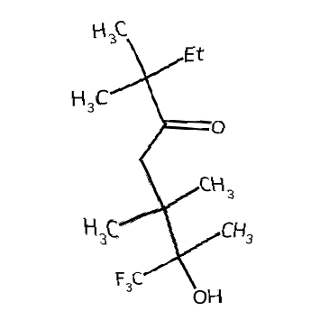 CCC(C)(C)C(=O)CC(C)(C)C(C)(O)C(F)(F)F